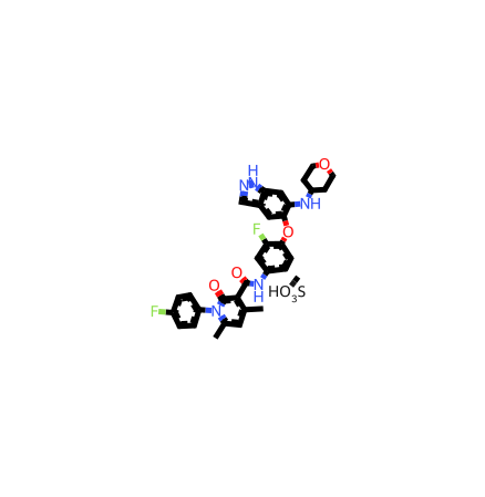 CS(=O)(=O)O.Cc1cc(C)n(-c2ccc(F)cc2)c(=O)c1C(=O)Nc1ccc(Oc2cc3cn[nH]c3cc2NC2CCOCC2)c(F)c1